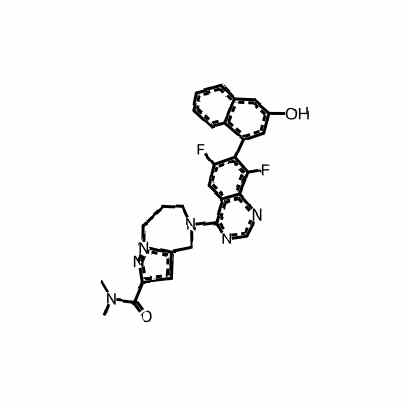 CN(C)C(=O)c1cc2n(n1)CCCN(c1ncnc3c(F)c(-c4cc(O)cc5ccccc45)c(F)cc13)C2